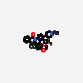 CC(=O)N1CCC(c2ccc(N3C(=O)c4ccccc4C(C(=O)O)C3c3ccc4c(c3)OCCO4)cc2C)CC1